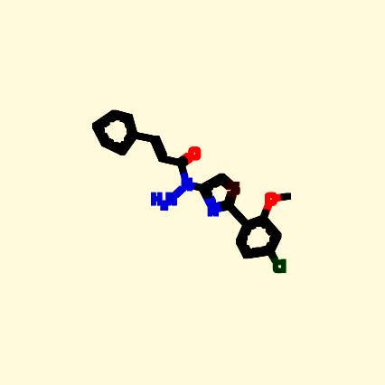 COc1cc(Cl)ccc1-c1nc(N(N)C(=O)C=Cc2ccccc2)cs1